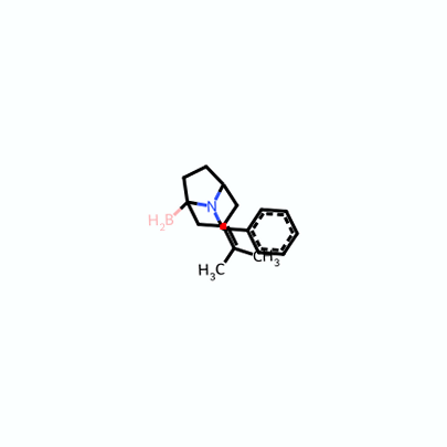 BC12CCC(CC(=C(C)C)C1)N2Cc1ccccc1